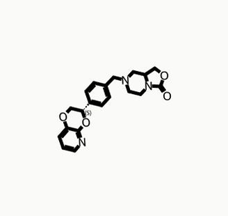 O=C1OCC2CN(Cc3ccc([C@H]4COc5cccnc5O4)cc3)CCN12